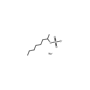 CCCCCCC(C)OS(=O)(=O)[O-].[Na+]